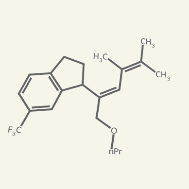 CCCOC/C(=C/C(C)=C(C)C)C1CCc2ccc(C(F)(F)F)cc21